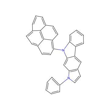 c1ccc(-n2ccc3cc4c5ccccc5n(-c5ccc6ccc7cccc8ccc5c6c78)c4cc32)cc1